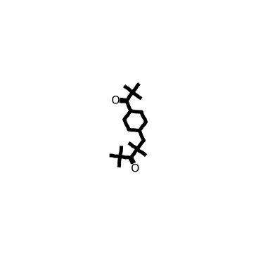 CC(C)(C)C(=O)C1CCC(CC(C)(C)C(=O)C(C)(C)C)CC1